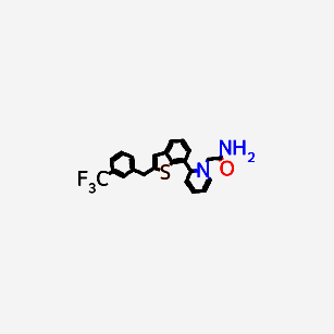 NC(=O)CN1C=CC=CC1c1cccc2cc(Cc3cccc(C(F)(F)F)c3)sc12